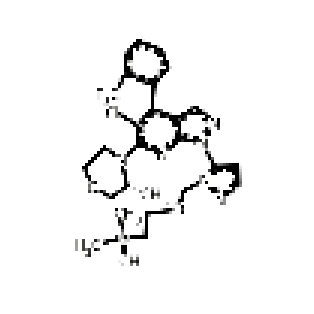 C[C@@H]1COCCN1c1nc2c(cnn2-c2ccnn2COCC[Si](C)(C)C)c(-c2ccccc2C(F)(F)F)c1Cl